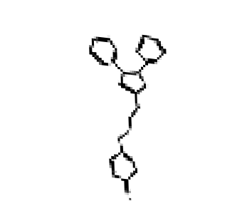 S=C1C=CC(CCCCC2=NC(c3ccccc3)=C(c3ccccc3)[N]2)=CC1